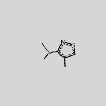 Cc1csnc1N(C)C